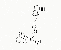 O=C(O)[C@H](CCO[C@H]1C[C@H](CCc2ccc3c(n2)NCCC3)C1)NC(=O)C12CCCCC1OCC2